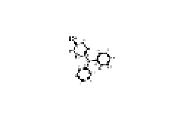 O=C1CC=C(C(c2ccccc2)c2ccccc2)OC1